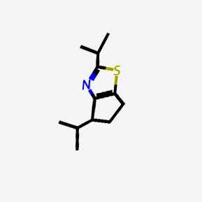 CC(C)c1nc2c(s1)CCC2C(C)C